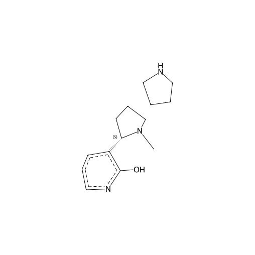 C1CCNC1.CN1CCC[C@H]1c1cccnc1O